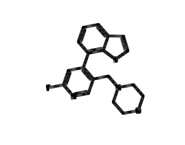 Fc1cc(-c2cccc3ccsc23)c(CN2CCOCC2)cn1